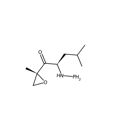 CC(C)C[C@@H](NP)C(=O)[C@@]1(C)CO1